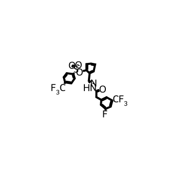 O=C(Cc1cc(F)cc(C(F)(F)F)c1)NN=Cc1ccccc1OS(=O)(=O)c1ccc(C(F)(F)F)cc1